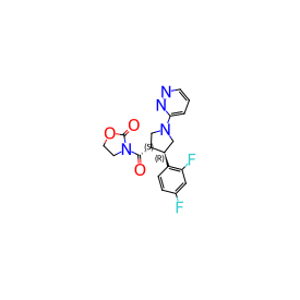 O=C1OCCN1C(=O)[C@@H]1CN(c2cccnn2)C[C@H]1c1ccc(F)cc1F